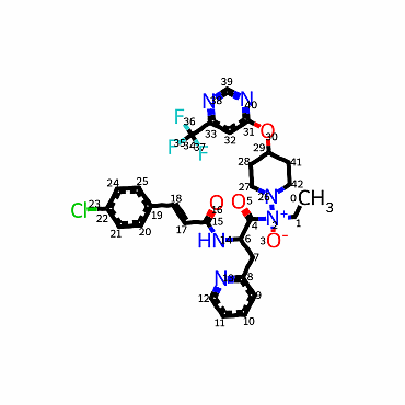 CC[N+]([O-])(C(=O)C(Cc1ccccn1)NC(=O)C=Cc1ccc(Cl)cc1)N1CCC(Oc2cc(C(F)(F)F)ncn2)CC1